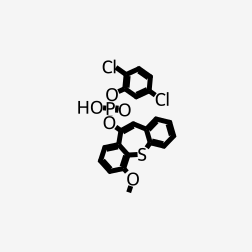 COc1cccc2c1Sc1ccccc1C=C2OP(=O)(O)Oc1cc(Cl)ccc1Cl